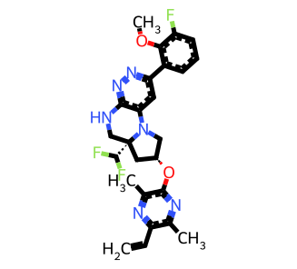 C=Cc1nc(C)c(O[C@H]2CN3c4cc(-c5cccc(F)c5OC)nnc4NC[C@]3(C(F)F)C2)nc1C